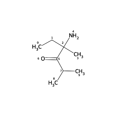 CCC(C)(N)C(=O)C(C)C